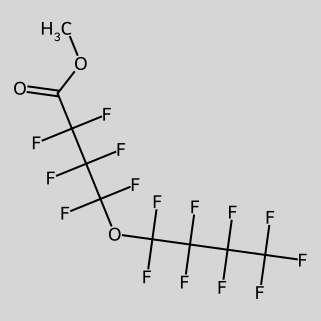 COC(=O)C(F)(F)C(F)(F)C(F)(F)OC(F)(F)C(F)(F)C(F)(F)C(F)(F)F